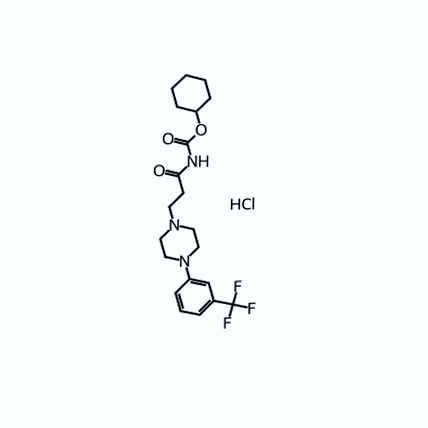 Cl.O=C(CCN1CCN(c2cccc(C(F)(F)F)c2)CC1)NC(=O)OC1CCCCC1